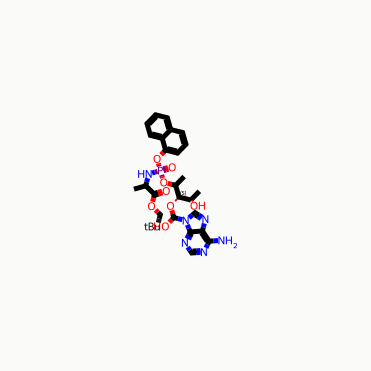 CC(NP(=O)(Oc1cccc2ccccc12)OC(C)[C@@H](OC(O)n1cnc2c(N)ncnc21)C(C)O)C(=O)OCC(C)(C)C